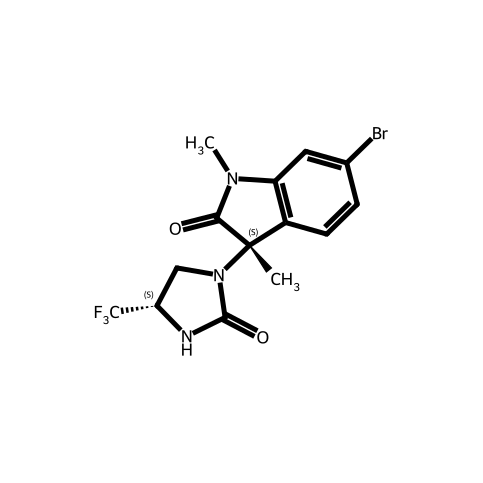 CN1C(=O)[C@@](C)(N2C[C@@H](C(F)(F)F)NC2=O)c2ccc(Br)cc21